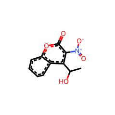 CC(O)c1c([N+](=O)[O-])c(=O)oc2ccccc12